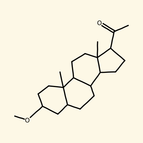 COC1CCC2(C)C(CCC3C2CCC2(C)C(C(C)=O)CCC32)C1